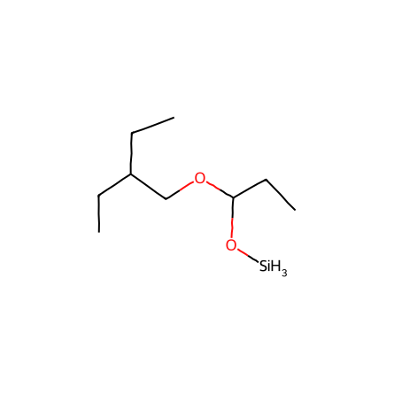 CCC(CC)COC(CC)O[SiH3]